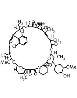 CO[C@H]1C[C@@H]2CC[C@@H](C)[C@@](O)(O2)C(=O)C(=O)N2CCCC[C@H]2C(=O)O[C@H]([C@H](C)C[C@@H]2CC[C@@H](O)[C@H](OC)C2)CC(=O)[C@H](C)/C=C(\C)[C@@H](O)[C@@H](OC)C(=O)[C@H](C)C[C@H](C)C2C=CC(/C=C/1C)ON2c1c(Cl)cccc1Cl